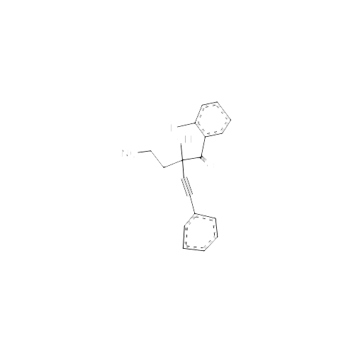 CC(C#Cc1ccccc1)(CCC#N)C(=O)c1ccccc1F